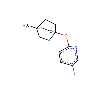 CC12CCC(Oc3ccc(I)cn3)(CC1)CC2